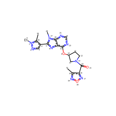 CCn1ncc(-c2nc3c(OC4CCN(C(=O)c5nonc5C)C4)ncnc3n2C)c1C